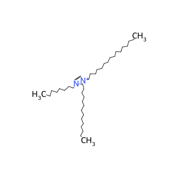 CCCCCCCCCCCCCCCC[n+]1ccn(CCCCCCCC)c1CCCCCCCCCCCCC